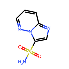 NS(=O)(=O)c1cnc2cccnn12